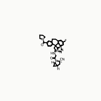 N#C[C@@H]1C[C@@H]2C[C@@H]2N1C(=O)CNCCC1(c2nnn[nH]2)c2ccc(F)cc2CCc2cc(C(=O)N3CCCC3)ccc21